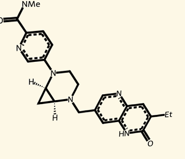 CCc1cc2ncc(CN3CCN(c4ccc(C(=O)NC)nc4)[C@@H]4C[C@@H]43)cc2[nH]c1=O